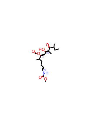 CCC(C)C(=O)/C(C)=C(O)/C=C(\OC=O)C(C)CC/C=C/NC(=O)OC